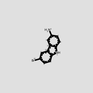 Nc1ccc2[nH]c3ccc(Br)cc3c2c1